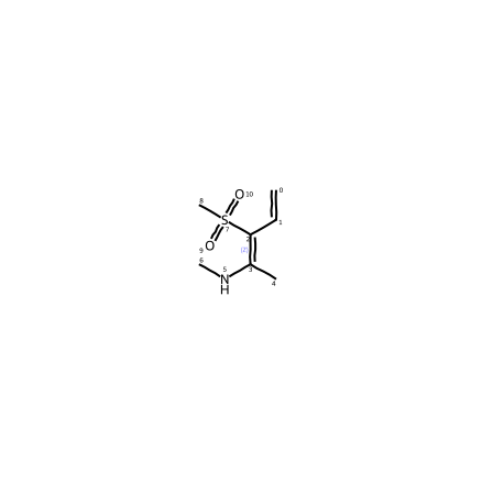 C=C/C(=C(\C)NC)S(C)(=O)=O